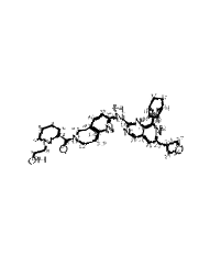 O=C([C@@H]1CCCCN1CCO)N1CCc2nc(Nc3ncc4cc(C5COC5)nc(N5C6CCC5CC6)c4n3)ccc2C1